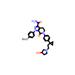 COc1ccc(-n2nc(C(N)=O)c3c2C(=O)N(c2ccc(C4(CCN5CCC(O)C5)CC4)cc2)CC3)cc1